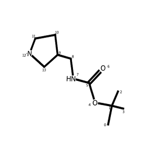 CC(C)(C)OC(=O)NCC1CC[N]C1